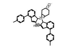 CCCCC1=Cc2c(-c3ccc(C)cc3)cccc2[CH]1[Zr+2]1([CH]2C(CCCC)=Cc3c(-c4ccc(C)cc4)cccc32)[CH]2CCCC[CH]21.[Cl-].[Cl-]